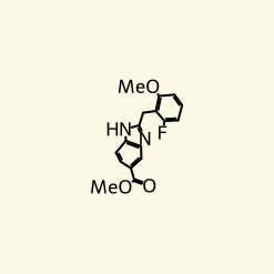 COC(=O)c1ccc2[nH]c(Cc3c(F)cccc3OC)nc2c1